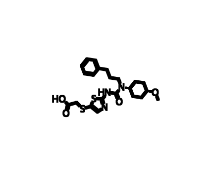 CO[C@H]1CC[C@H](N(CCCc2ccccc2)C(=O)Nc2ncc(SCC(=O)O)s2)CC1